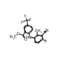 COC(=O)c1cc(C(F)(F)F)ccc1Nc1ccc(F)c(C#N)c1C